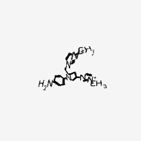 C[n+]1ccn(CC2CC(n3cc[n+](C)c3)CN2c2ccc(N)cc2)c1